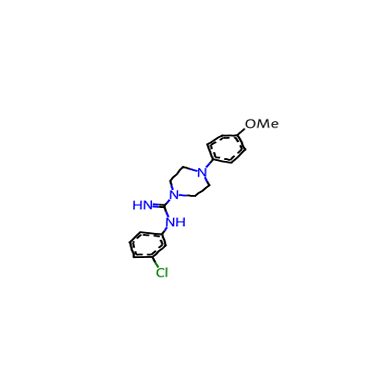 COc1ccc(N2CCN(C(=N)Nc3cccc(Cl)c3)CC2)cc1